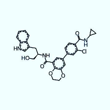 O=C(NC1CC1)c1ccc(-c2cc3c(c(C(=O)N[C@@H](CO)Cc4c[nH]c5ccccc45)c2)OCCO3)cc1Cl